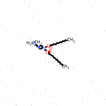 CCCCCCCCCCCCCC(=O)OCCN(CCOC(=O)CCCCCCCCCCCCC)C1CCN(CCCN(C)C)CC1